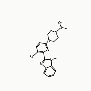 Cn1c(-c2nc(N3CCN([S+](C)[O-])CC3)ccc2Cl)nc2ccccc21